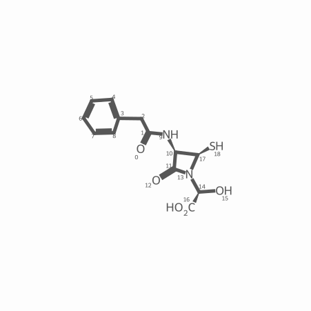 O=C(Cc1ccccc1)N[C@@H]1C(=O)N([C@@H](O)C(=O)O)[C@@H]1S